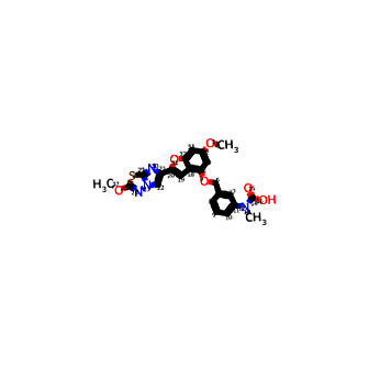 COc1cc(OCc2cccc(N(C)C(=O)O)c2)c2cc(-c3cn4nc(OC)sc4n3)oc2c1